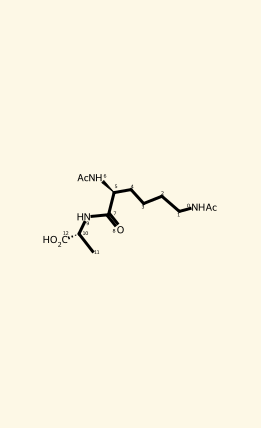 CC(=O)NCCCC[C@H](NC(C)=O)C(=O)N[C@H](C)C(=O)O